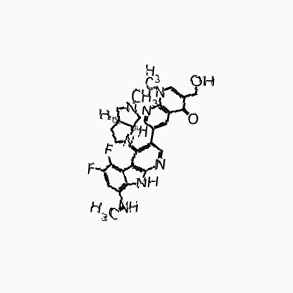 CNc1cc(F)c(F)c2c1[nH]c1ncc(-c3cnc4c(c3)c(=O)c(CO)cn4C)c(N3CC[C@H]4CN(C)C[C@H]43)c12